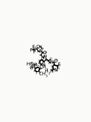 Cc1ccc(S(=O)(=O)O)cc1.Cc1ccc2c(n1)c(C1CN(C(=O)c3cc(N)ncc3F)C1)nn2CC(=O)N1CCO[C@@H](C(F)(F)F)C1